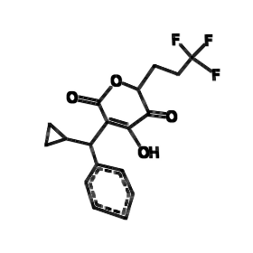 O=C1OC(CCC(F)(F)F)C(=O)C(O)=C1C(c1ccccc1)C1CC1